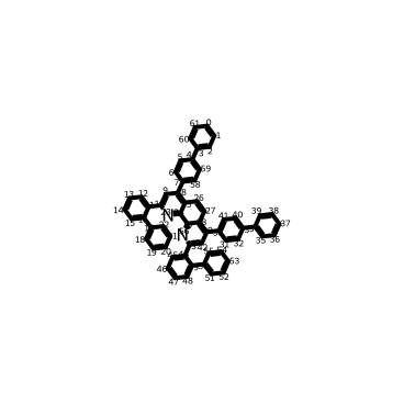 c1ccc(-c2ccc(-c3cc(-c4ccccc4-c4ccccc4)nc4c3ccc3c(-c5ccc(-c6ccccc6)cc5)cc(-c5ccccc5-c5ccccc5)nc34)cc2)cc1